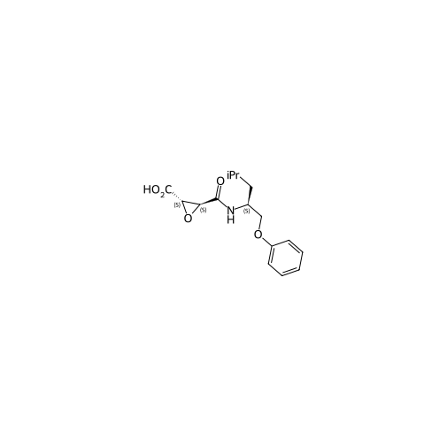 CC(C)C[C@@H](COc1ccccc1)NC(=O)[C@H]1O[C@@H]1C(=O)O